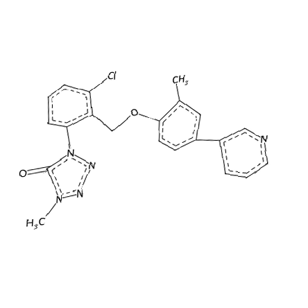 Cc1cc(-c2cccnc2)ccc1OCc1c(Cl)cccc1-n1nnn(C)c1=O